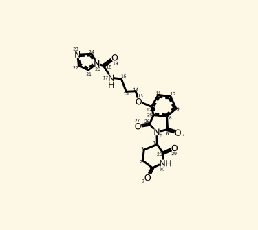 O=C1CCC(N2C(=O)c3cccc(OCCCNC(=O)n4ccnc4)c3C2=O)C(=O)N1